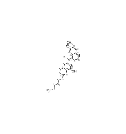 CCCSCCN1CC[C@@H](CCC(F)c2ccnc3ccc(OC)cc23)[C@@H](C(=O)O)C1